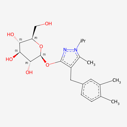 Cc1ccc(Cc2c(O[C@@H]3O[C@H](CO)[C@@H](O)[C@H](O)[C@H]3O)nn(C(C)C)c2C)cc1C